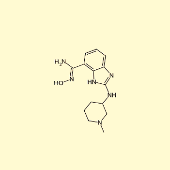 CN1CCCC(Nc2nc3cccc(C(N)=NO)c3[nH]2)C1